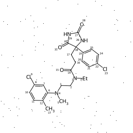 CCN(CCN(C)c1cc(Cl)ccc1C)C(=O)CCC1(c2ccc(Cl)cc2)NC(=O)NC1=O